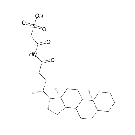 C[C@H](CCC(=O)NC(=O)CS(=O)(=O)O)[C@H]1CCC2C3CCC4CCCC[C@]4(C)C3CC[C@@]21C